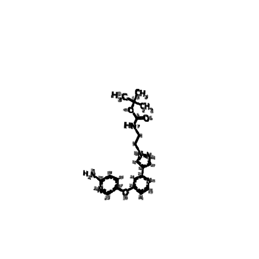 CC(C)(C)OC(=O)NCCn1cc(-c2cc(Oc3ccc(N)nc3)ccn2)cn1